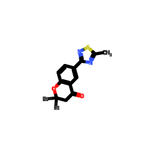 CCC1(CC)CC(=O)c2cc(-c3nsc(C)n3)ccc2O1